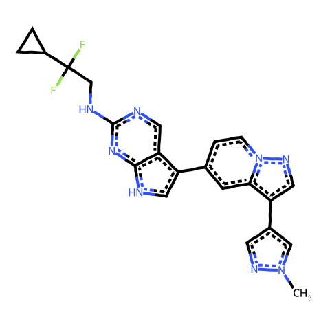 Cn1cc(-c2cnn3ccc(-c4c[nH]c5nc(NCC(F)(F)C6CC6)ncc45)cc23)cn1